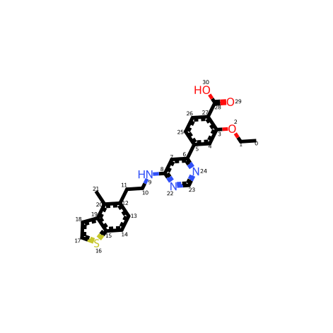 CCOc1cc(-c2cc(NCCc3ccc4sccc4c3C)ncn2)ccc1C(=O)O